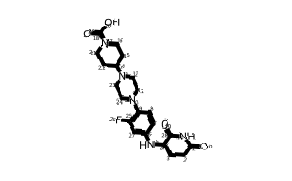 O=C1CCC(Nc2ccc(N3CCN(C4CCN(C(=O)O)CC4)CC3)c(F)c2)C(=O)N1